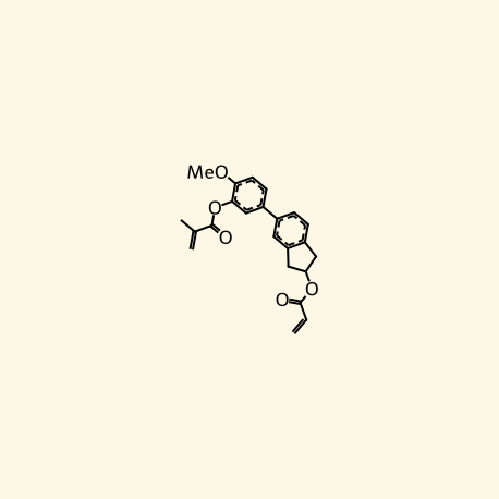 C=CC(=O)OC1Cc2ccc(-c3ccc(OC)c(OC(=O)C(=C)C)c3)cc2C1